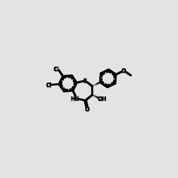 COc1ccc([C@H]2Sc3cc(Cl)c(Cl)cc3NC(=O)[C@H]2O)cc1